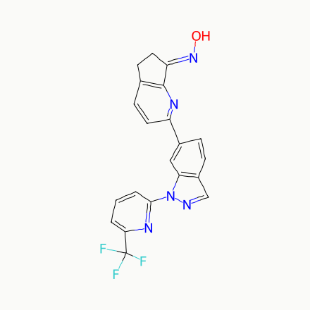 O/N=C1\CCc2ccc(-c3ccc4cnn(-c5cccc(C(F)(F)F)n5)c4c3)nc21